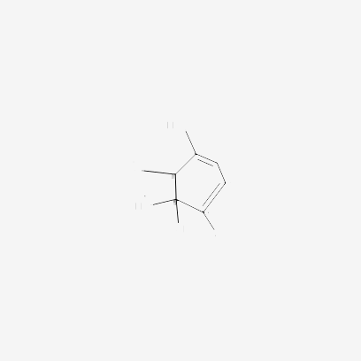 CC1=CC=C(C)C(C)(O)C1O